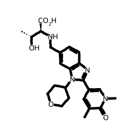 Cc1cc(-c2nc3ccc(CN[C@H](C(=O)O)[C@@H](C)O)cc3n2C2CCOCC2)cn(C)c1=O